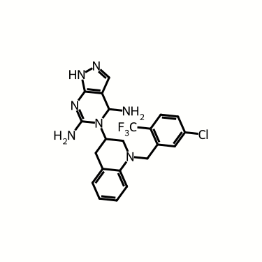 NC1=Nc2[nH]ncc2C(N)N1C1Cc2ccccc2N(Cc2cc(Cl)ccc2C(F)(F)F)C1